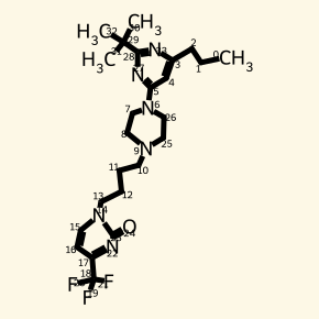 CCCc1cc(N2CCN(CCCCn3ccc(C(F)(F)F)nc3=O)CC2)nc(C(C)(C)C)n1